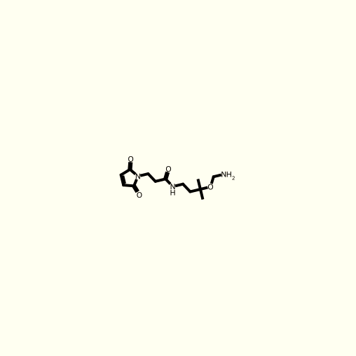 CC(C)(CCNC(=O)CCN1C(=O)C=CC1=O)OCN